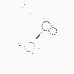 CCCCc1cc(C#CC2OC(CO)[C@@H](O)C(O)C2O)c2c(cnn2C)c1